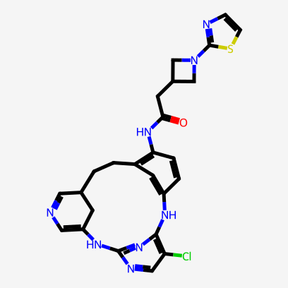 O=C(CC1CN(c2nccs2)C1)Nc1ccc2cc1CCC1C=NC=C(C1)Nc1ncc(Cl)c(n1)N2